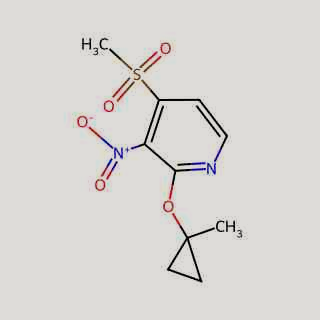 CC1(Oc2nccc(S(C)(=O)=O)c2[N+](=O)[O-])CC1